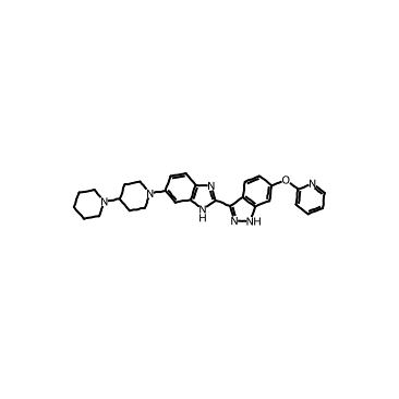 c1ccc(Oc2ccc3c(-c4nc5ccc(N6CCC(N7CCCCC7)CC6)cc5[nH]4)n[nH]c3c2)nc1